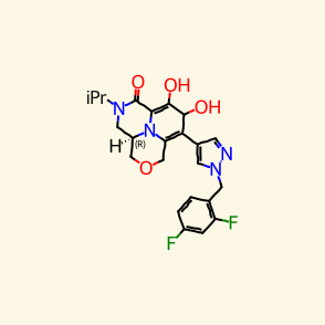 CC(C)N1C[C@@H]2COCC3=C(c4cnn(Cc5ccc(F)cc5F)c4)C(O)C(O)=C(C1=O)N32